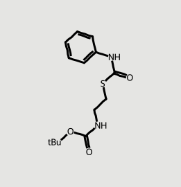 CC(C)(C)OC(=O)NCCSC(=O)Nc1ccccc1